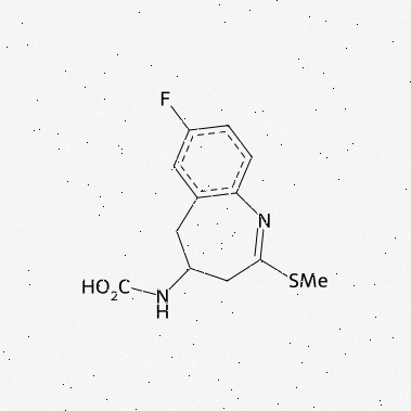 CSC1=Nc2ccc(F)cc2CC(NC(=O)O)C1